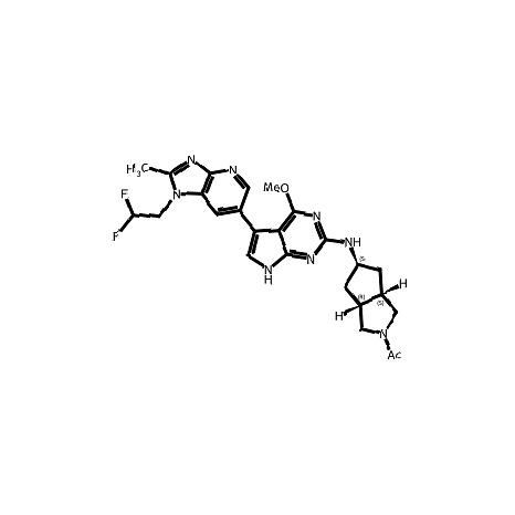 COc1nc(N[C@H]2C[C@@H]3CN(C(C)=O)C[C@@H]3C2)nc2[nH]cc(-c3cnc4nc(C)n(CC(F)F)c4c3)c12